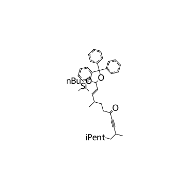 CCCC[Si](C)(C)OC(C=CC(C)CCC(=O)C#CC(C)CC(C)CCC)OC(c1ccccc1)(c1ccccc1)c1ccccc1